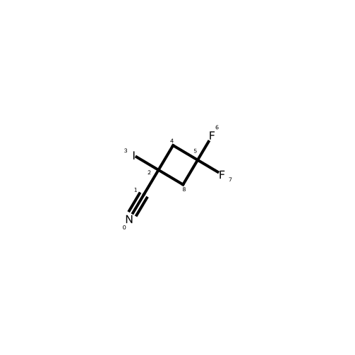 N#CC1(I)CC(F)(F)C1